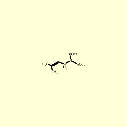 CCCCCCCCN(CCCCCCCC)[SiH2]C=C(C)C